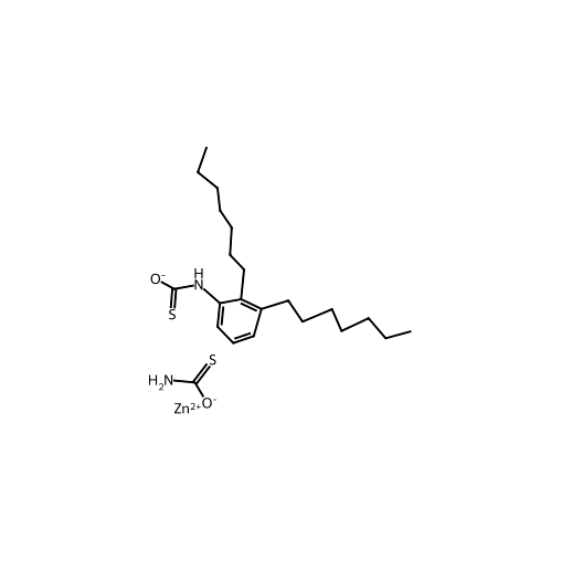 CCCCCCCc1cccc(NC([O-])=S)c1CCCCCCC.NC([O-])=S.[Zn+2]